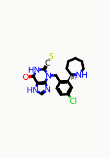 O=C1NC(=C=S)N(Cc2ccc(Cl)cc2[C@H]2CCCCCN2)c2nc[nH]c21